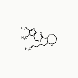 C=CCCCC1OCCCCN1C(=O)OCc1cnc([N+](=O)[O-])n1C